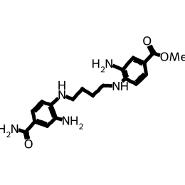 COC(=O)c1ccc(NCCCCNc2ccc(C(N)=O)cc2N)c(N)c1